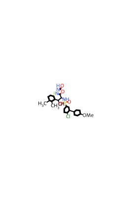 COc1ccc(-c2cc(S(=O)(=O)NC(c3n[nH]c(=O)o3)C(C)c3c(F)ccc(C)c3C)ccc2Cl)cc1